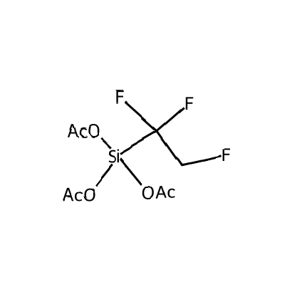 CC(=O)O[Si](OC(C)=O)(OC(C)=O)C(F)(F)CF